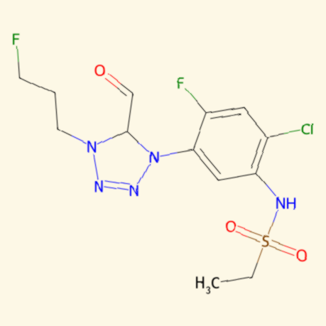 CCS(=O)(=O)Nc1cc(N2N=NN(CCCF)C2C=O)c(F)cc1Cl